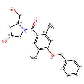 COc1cc(C(=O)N2C[C@H](O)C[C@H]2CO)c([N+](=O)[O-])cc1OCc1ccccc1